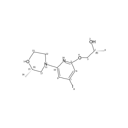 C[C@@H](O)COc1cc(I)cc(N2CCO[C@@H](C)C2)n1